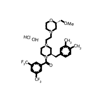 COC[C@@H]1CN(CCN2CCN(C(=O)c3cc(C(F)(F)F)cc(C(F)(F)F)c3)[C@H](Cc3ccc(C)c(C)c3)C2)CCO1.Cl.Cl